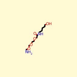 NCOCOCCOCC(=O)NCCCCCO